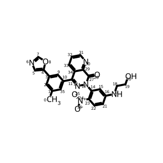 Cc1cc(-c2cnco2)cc(-c2nn(-c3cc(NCCO)ccc3[N+](=O)[O-])c(=O)c3ncccc23)c1